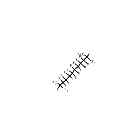 CC(F)(C(F)(F)F)C(F)(F)C(F)(F)C(F)(F)C(F)(F)C(F)(F)C(F)(F)C(F)(F)C(F)(F)C(C)(F)C(F)(F)F